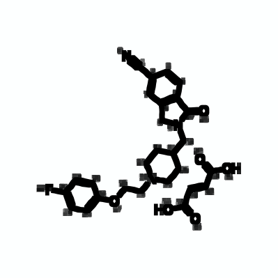 N#Cc1ccc2c(c1)CN(CC1CCN(CCOc3ccc(F)cc3)CC1)C2=O.O=C(O)/C=C/C(=O)O